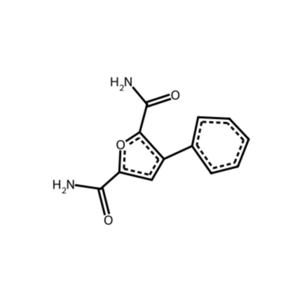 NC(=O)c1cc(-c2ccccc2)c(C(N)=O)o1